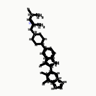 Cc1c(-c2[nH]c3ccc(C4CCN(C/C(N)=C/N(C)N)CC4)cc3c2C)cn2ncnc2c1C